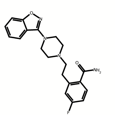 NC(=O)c1ccc(F)cc1CCN1CCN(c2noc3ccccc23)CC1